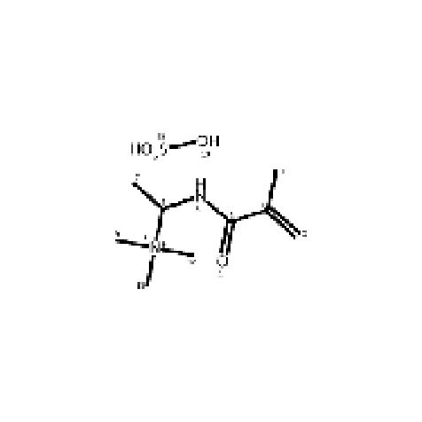 C=C(C)C(=O)NC(C)[N+](C)(C)C.O=S(=O)(O)O